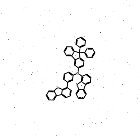 c1ccc(C2(c3ccccc3)c3ccccc3-c3cc(N(c4cccc(-c5cccc6c5sc5ccccc56)c4)c4cccc5c4sc4ccccc45)ccc32)cc1